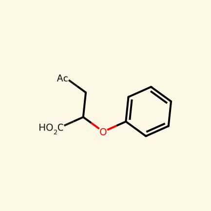 CC(=O)CC(Oc1ccccc1)C(=O)O